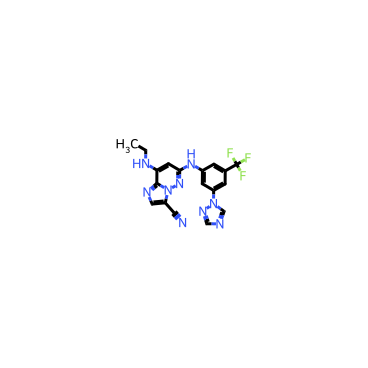 CCNc1cc(Nc2cc(-n3cncn3)cc(C(F)(F)F)c2)nn2c(C#N)cnc12